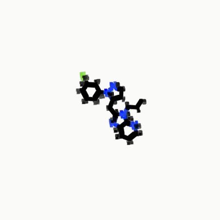 CCCn1c(Cc2ccnn2-c2cccc(F)c2)nc2cccnc21